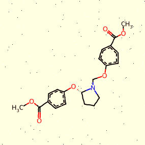 COC(=O)c1ccc(OCN2CCC[C@@H]2Oc2ccc(C(=O)OC)cc2)cc1